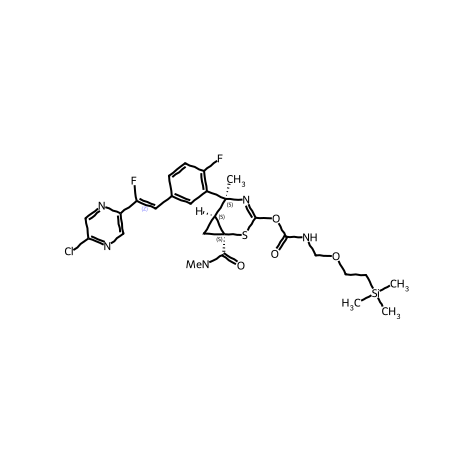 CNC(=O)[C@]12C[C@H]1[C@@](C)(c1cc(/C=C(\F)c3cnc(Cl)cn3)ccc1F)N=C(OC(=O)NCOCC[Si](C)(C)C)S2